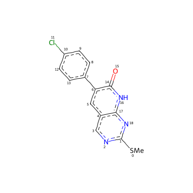 CSc1ncc2cc(-c3ccc(Cl)cc3)c(=O)[nH]c2n1